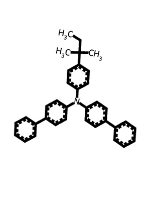 CCC(C)(C)c1ccc(N(c2ccc(-c3ccccc3)cc2)c2ccc(-c3ccccc3)cc2)cc1